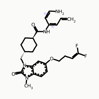 C=C/C=C(\C=C/N)NC(=O)[C@H]1CC[C@H](Cn2c(=O)n(C)c3ccc(OCCC=C(F)F)cc32)CC1